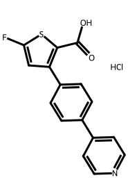 Cl.O=C(O)c1sc(F)cc1-c1ccc(-c2ccncc2)cc1